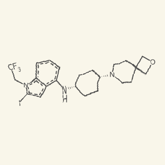 FC(F)(F)Cn1c(I)cc2c(N[C@H]3CC[C@@H](N4CCC5(CC4)COC5)CC3)cccc21